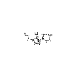 C=CCc1cnn(-c2ccccc2)c1CC